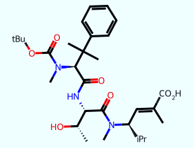 C/C(=C\[C@@H](C(C)C)N(C)C(=O)[C@@H](NC(=O)[C@@H](N(C)C(=O)OC(C)(C)C)C(C)(C)c1ccccc1)[C@H](C)O)C(=O)O